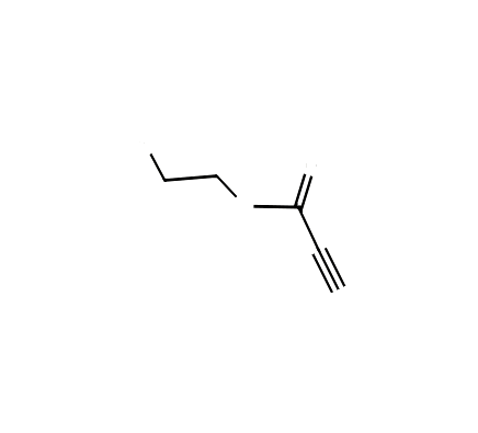 C#CC(=O)OCCBr